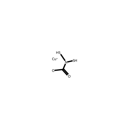 O=C([O-])N(S)S.[Cu+]